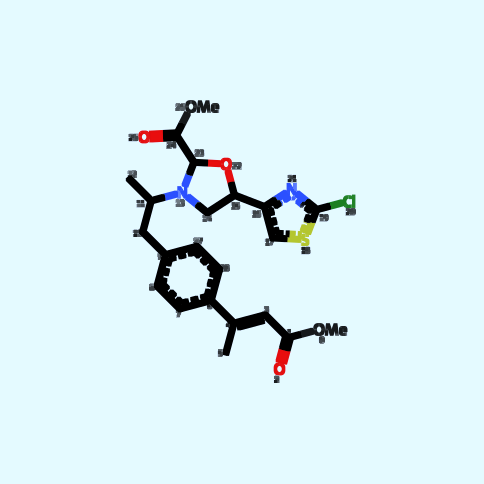 COC(=O)C=C(C)c1ccc(CC(C)N2CC(c3csc(Cl)n3)OC2C(=O)OC)cc1